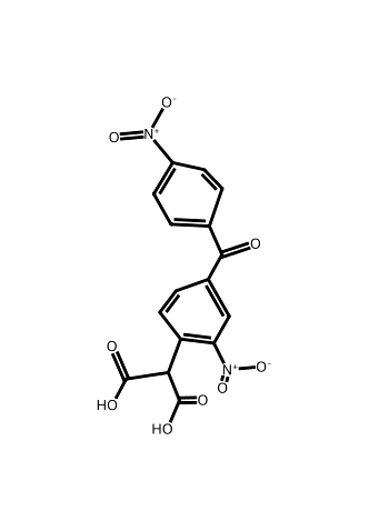 O=C(c1ccc([N+](=O)[O-])cc1)c1ccc(C(C(=O)O)C(=O)O)c([N+](=O)[O-])c1